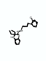 CCC1(CC)Nc2ccccc2N=C1NNCCCc1ccccc1Cl